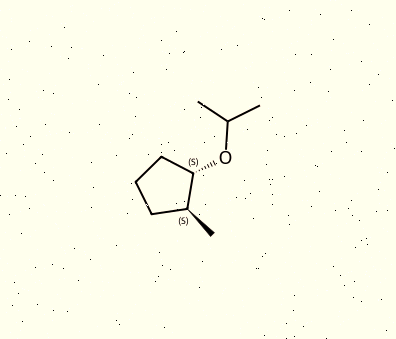 CC(C)O[C@H]1CCC[C@@H]1C